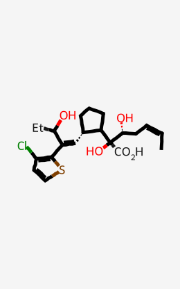 C/C=C\C[C@@H](O)C(O)(C(=O)O)C1CCC[C@H]1/C=C(/c1sccc1Cl)C(O)CC